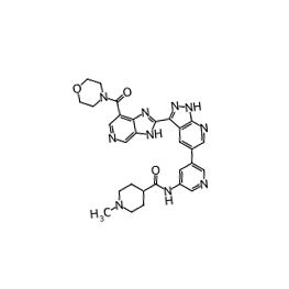 CN1CCC(C(=O)Nc2cncc(-c3cnc4[nH]nc(-c5nc6c(C(=O)N7CCOCC7)cncc6[nH]5)c4c3)c2)CC1